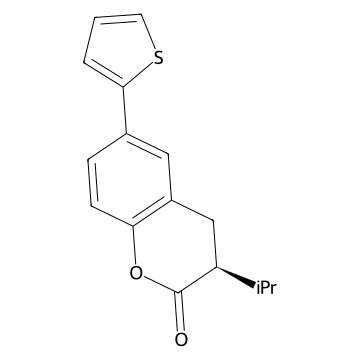 CC(C)[C@@H]1Cc2cc(-c3cccs3)ccc2OC1=O